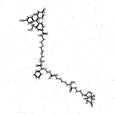 NN(CCCCCNC(=O)CCSC(C(=O)NCCOCCOCCNC(=O)c1ccc(-c2c3ccc(=O)cc-3oc3cc(O)ccc23)c(C(=O)O)c1)c1ccccc1)C(=O)CCCCC1SC[C@@H]2NC(=O)N[C@H]12